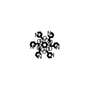 O=C(O[C@H]1[C@H](OC(=O)c2cccnc2)[C@@H](OC(=O)c2cccnc2)[C@H](OC(=O)c2cccnc2)[C@@H](OC(=O)c2cccnc2)[C@H]1OC(=O)c1cccnc1)c1cccnc1